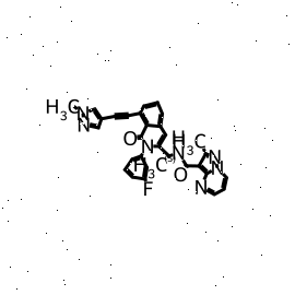 Cc1nn2cccnc2c1C(=O)N[C@@H](C)c1cc2cccc(C#Cc3cnn(C)c3)c2c(=O)n1-c1cccc(F)c1